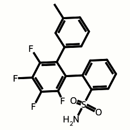 Cc1cccc(-c2c(F)c(F)c(F)c(F)c2-c2ccccc2S(N)(=O)=O)c1